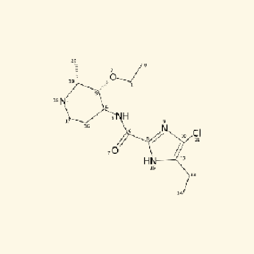 CCO[C@@H]1C(NC(=O)c2nc(Cl)c(CC)[nH]2)CC[N][C@@H]1C